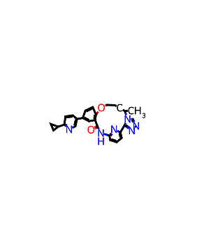 CC1CCCOc2ccc(-c3ccc(C4CC4)nc3)cc2C(=O)Nc2cccc(n2)-c2nncn21